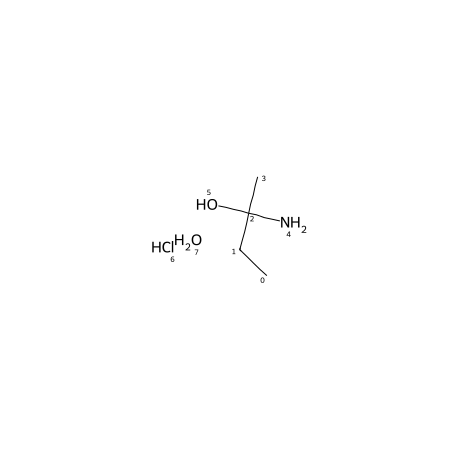 CCC(C)(N)O.Cl.O